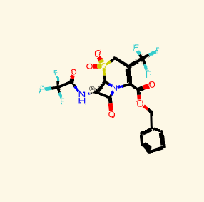 O=C(OCc1ccccc1)C1=C(C(F)(F)F)CS(=O)(=O)C2[C@@H](NC(=O)C(F)(F)F)C(=O)N12